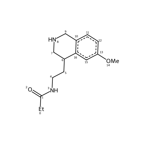 CCC(=O)NCCC1CNCc2ccc(OC)cc21